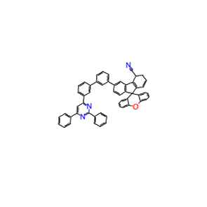 N#CC1CC=CC2=C1c1cc(-c3cccc(-c4cccc(-c5cc(-c6ccccc6)nc(-c6ccccc6)n5)c4)c3)ccc1C21c2ccccc2Oc2ccccc21